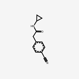 N#Cc1ccc([CH]C(=O)NC2CC2)cc1